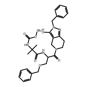 CC(C)(C)OC(=O)NC(C)(C)C(=O)NC(COCc1ccccc1)C(=O)N1CCc2nn(Cc3ccccc3)c(O)c2C1